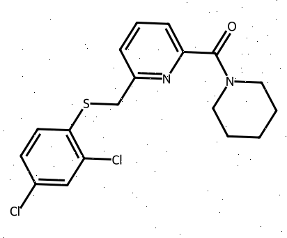 O=C(c1cccc(CSc2ccc(Cl)cc2Cl)n1)N1CCCCC1